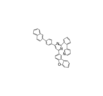 c1cncc(-c2ccccc2-c2nc(-c3ccc(-c4ccc5ccccc5c4)cc3)cc(-c3ccc4oc5ccccc5c4c3)n2)c1